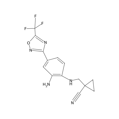 N#CC1(CNc2ccc(-c3noc(C(F)(F)F)n3)cc2N)CC1